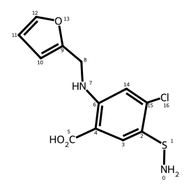 NSc1cc(C(=O)O)c(NCc2ccco2)cc1Cl